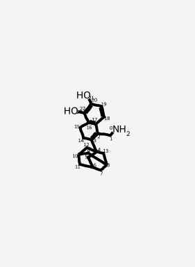 NCC1=C(C23CC4CC(CC(C4)C2)C3)CCc2c1ccc(O)c2O